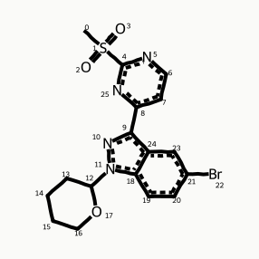 CS(=O)(=O)c1nccc(-c2nn(C3CCCCO3)c3ccc(Br)cc23)n1